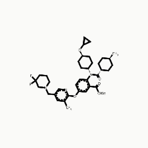 COC(=O)c1cc(Oc2ncc(CN3CCCC(F)(F)C3)cc2C(F)(F)F)ccc1N(C(=O)[C@H]1CC[C@H](C)CC1)[C@H]1CC[C@H](OC2CC2)CC1